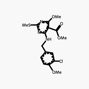 COC(=O)c1c(NCc2ccc(OC)c(Cl)c2)nc(SC)nc1OC